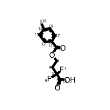 O=C(OCCC(F)(F)C(=O)O)c1ccc(I)cc1